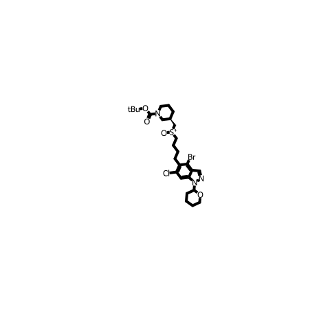 CC(C)(C)OC(=O)N1CCC[C@@H](C[S+]([O-])CCCCc2c(Cl)cc3c(cnn3C3CCCCO3)c2Br)C1